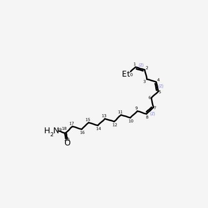 CC/C=C\C/C=C\C/C=C\CCCCCCCCCC(N)=O